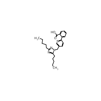 CCCCCc1nc(CCCCC)n(Cc2ccc(-c3ccccc3C(=O)O)nc2)n1